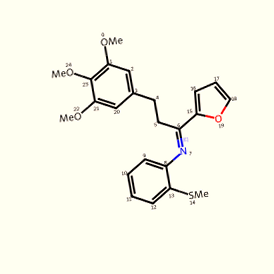 COc1cc(CC/C(=N\c2ccccc2SC)c2ccco2)cc(OC)c1OC